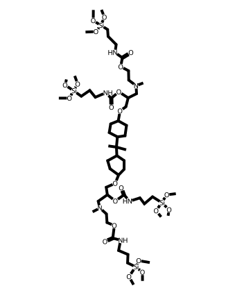 CO[Si](CCCNC(=O)OCCN(C)CC(COC1CCC(C(C)(C)C2CCC(OCC(CN(C)CCOC(=O)NCCC[Si](OC)(OC)OC)OC(=O)NCCC[Si](OC)(OC)OC)CC2)CC1)OC(=O)NCCC[Si](OC)(OC)OC)(OC)OC